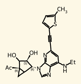 CCNc1cc(C#Cc2ccc(C)s2)nc2c1ncn2[C@@H]1C2C[C@]2(C(C)=O)C(O)[C@H]1O